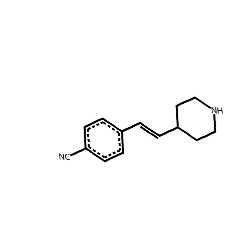 N#Cc1ccc(/C=C/C2CCNCC2)cc1